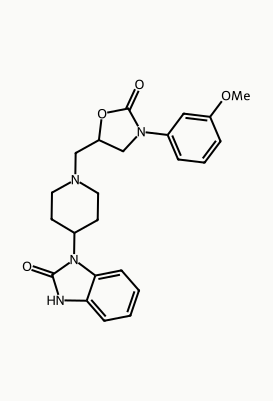 COc1cccc(N2CC(CN3CCC(n4c(=O)[nH]c5ccccc54)CC3)OC2=O)c1